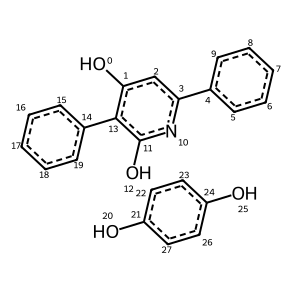 Oc1cc(-c2ccccc2)nc(O)c1-c1ccccc1.Oc1ccc(O)cc1